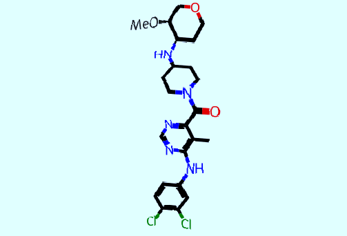 CO[C@H]1COCC[C@H]1NC1CCN(C(=O)c2ncnc(Nc3ccc(Cl)c(Cl)c3)c2C)CC1